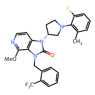 COc1nccc2c1n(Cc1ccccc1C(F)(F)F)c(=O)n2[C@@H]1CCN(c2c(C)cccc2F)C1